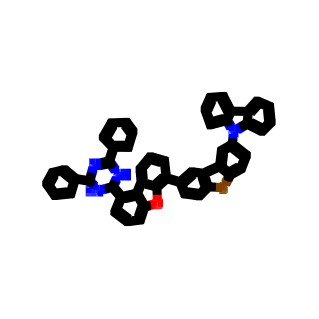 c1ccc(C2=NC(c3ccccc3)NC(c3cccc4oc5c(-c6ccc7sc8ccc(-n9c%10ccccc%10c%10ccccc%109)cc8c7c6)cccc5c34)N2)cc1